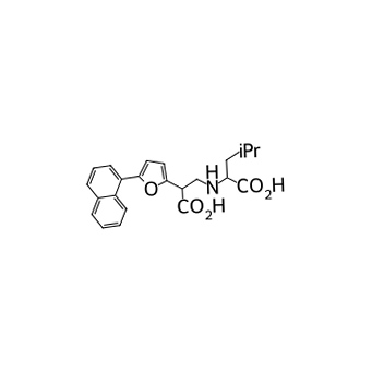 CC(C)CC(NCC(C(=O)O)c1ccc(-c2cccc3ccccc23)o1)C(=O)O